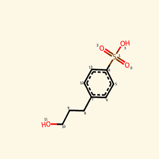 O=S(=O)(O)c1ccc(CCCO)cc1